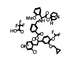 COc1ccccc1C(NCc1cccc(C(=O)OC(Cc2c(Cl)c[n+]([O-])cc2Cl)c2ccc(OC(F)F)c(OCC3CC3)c2)c1)C(=O)O[C@H]1CN2CCC1CC2.O=C(O)C(F)(F)F